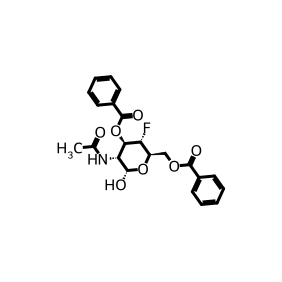 CC(=O)N[C@@H]1[C@@H](OC(=O)c2ccccc2)[C@H](F)[C@@H](COC(=O)c2ccccc2)O[C@@H]1O